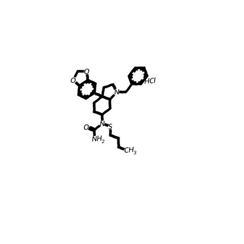 CCCCSN(C(N)=O)C1CCC2(c3ccc4c(c3)OCO4)CCN(Cc3ccccc3)C2C1.Cl